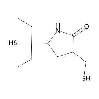 CCC(S)(CC)C1CC(CS)C(=O)N1